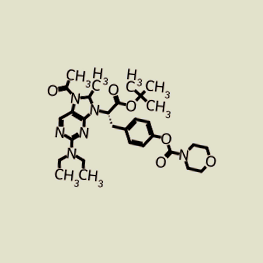 CCN(CC)c1ncc2c(n1)N([C@@H](Cc1ccc(OC(=O)N3CCOCC3)cc1)C(=O)OC(C)(C)C)C(C)N2C(C)=O